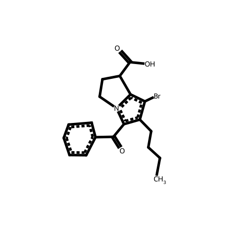 CCCCc1c(Br)c2n(c1C(=O)c1ccccc1)CCC2C(=O)O